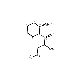 CC(=O)SCC(C)C(=O)[C@@H]1CCCC[C@H]1C(=O)O